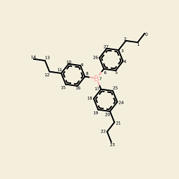 CCCc1ccc(B(c2ccc(CCC)cc2)c2ccc(CCC)cc2)cc1